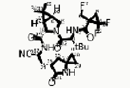 CC(C)(C)[C@H](NC(=O)C1(CF)CC1(F)F)C(=O)N1C[C@H]2[C@@H]([C@H]1C(=O)N[C@H](C#N)C[C@@H]1CC3(CC3)NC1=O)C2(C)C